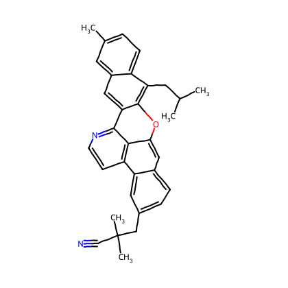 Cc1ccc2c(CC(C)C)c3c(cc2c1)-c1nccc2c1c(cc1ccc(CC(C)(C)C#N)cc12)O3